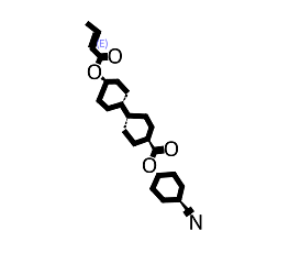 C/C=C/C(=O)O[C@H]1CC[C@H]([C@H]2CC[C@H](C(=O)O[C@H]3CC[C@H](C#N)CC3)CC2)CC1